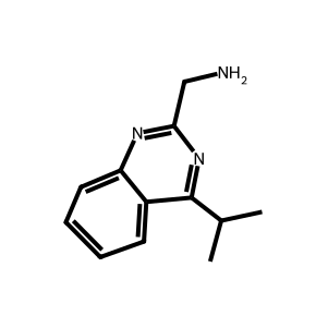 CC(C)c1nc(CN)nc2ccccc12